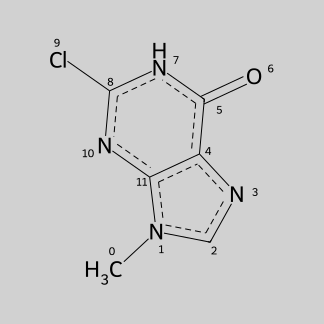 Cn1cnc2c(=O)[nH]c(Cl)nc21